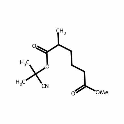 COC(=O)CCCC(C)C(=O)OC(C)(C)C#N